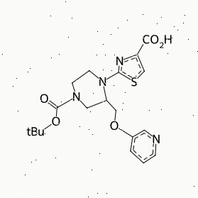 CC(C)(C)OC(=O)N1CCN(c2nc(C(=O)O)cs2)C(COc2cccnc2)C1